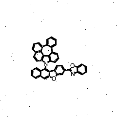 c1ccc2c(c1)-c1cccc3ccc4c(c13)c1c-2cccc1n4-c1c2ccccc2cc2oc3cc(-c4nc5ccccc5o4)ccc3c12